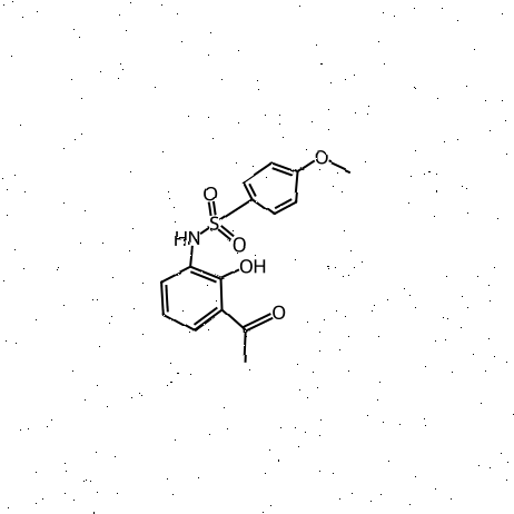 COc1ccc(S(=O)(=O)Nc2cccc(C(C)=O)c2O)cc1